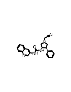 N#CCN1C[C@@H](NC(=O)Nc2cnc3ccccc3c2)[C@H](c2ccccc2)C1